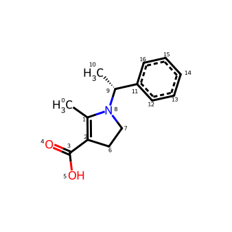 CC1=C(C(=O)O)CCN1[C@H](C)c1ccccc1